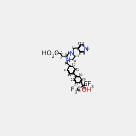 O=C(O)CC[C@H]1CN(Cc2ccncc2)CCN1Cc1ccc(-c2ccc(C(O)(C(F)(F)F)C(F)(F)F)cc2)cc1